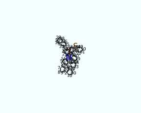 c1ccc(C2(c3ccccc3)c3ccccc3-c3c(N(c4ccc(-c5ccc6ccccc6c5)cc4)c4ccccc4-c4cccc5sc6ccccc6c45)cccc32)cc1